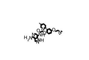 C[C@H]1CC[C@H](c2cccc(OCCN(C)C)c2)N(C(=O)C(=O)Nc2cnc(N)c3cn[nH]c23)C1